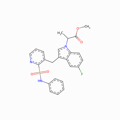 COC(=O)C(C)n1cc(Cc2cccnc2S(=O)(=O)Nc2ccccc2)c2cc(F)ccc21